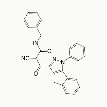 N#CC(C(=O)NCc1ccccc1)C(=O)c1nn(-c2ccccc2)c2c1Cc1ccccc1-2